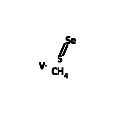 C.S=[Se].[V]